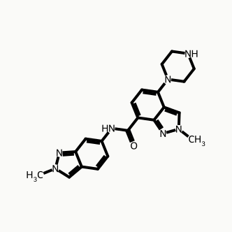 Cn1cc2ccc(NC(=O)c3ccc(N4CCNCC4)c4cn(C)nc34)cc2n1